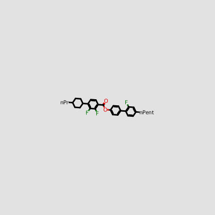 CCCCCc1ccc(-c2ccc(OC(=O)c3ccc(C4CCC(CCC)CC4)c(F)c3F)cc2)c(F)c1